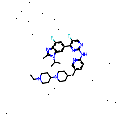 CCN1CCC(N2CCC(Cc3ccc(Nc4ncc(F)c(-c5cc(F)c6nc(C)n(C(C)C)c6c5)n4)nc3)CC2)CC1